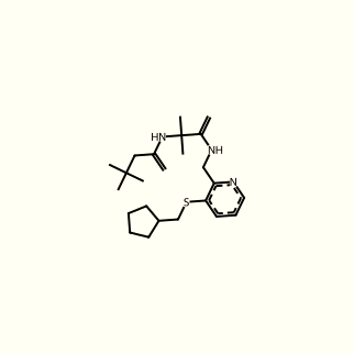 C=C(CC(C)(C)C)NC(C)(C)C(=C)NCc1ncccc1SCC1CCCC1